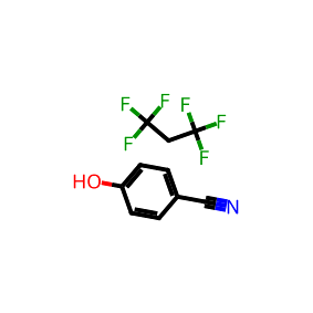 FC(F)(F)CC(F)(F)F.N#Cc1ccc(O)cc1